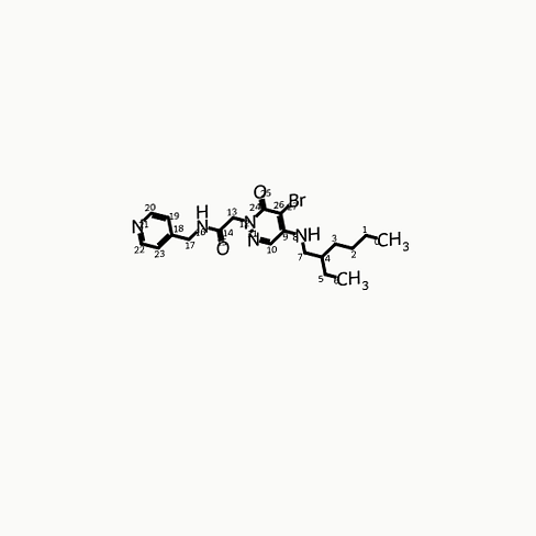 CCCCC(CC)CNc1cnn(CC(=O)NCc2ccncc2)c(=O)c1Br